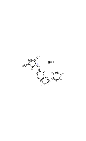 O=C1NC(=O)/C(=C/c2ccc3ncc(-c4ccncc4)n3c2)S1.[NaH]